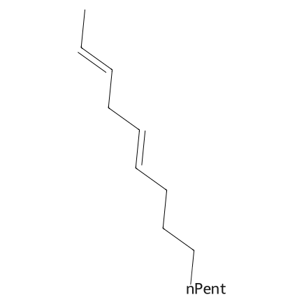 [CH2]CCCCCCC/C=C/CC=CC